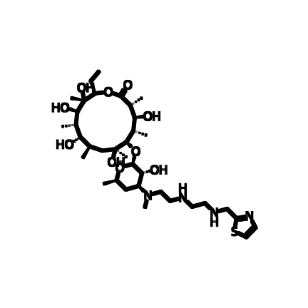 CC[C@H]1OC(=O)[C@H](C)[C@@H](O)[C@H](C)[C@@H](O[C@@H]2O[C@H](C)C[C@H](N(C)CCNCCNCc3nccs3)[C@H]2O)[C@@](C)(O)C[C@@H](C)[C@H](O)[C@H](C)[C@@H](O)[C@]1(C)O